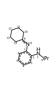 CC(C)Nc1ccccc1N=C1CCCCC1